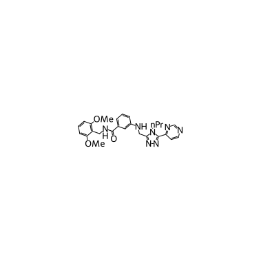 CCCn1c(CNc2cccc(C(=O)NCc3c(OC)cccc3OC)c2)nnc1-c1ccncn1